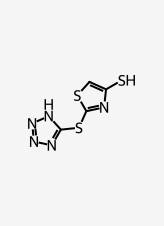 Sc1csc(Sc2nnn[nH]2)n1